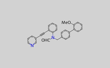 COc1ccccc1-c1ccc(CN(C=O)c2ccccc2C#Cc2cccnc2)cc1